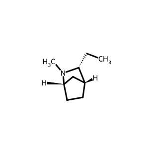 CC[C@@H]1[C@@H]2CC[C@@H](C2)N1C